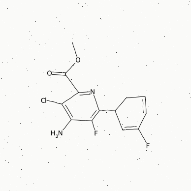 COC(=O)c1nc(C2C=C(F)C=CC2)c(F)c(N)c1Cl